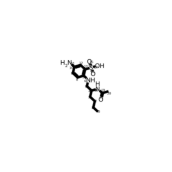 CCCCC(CNc1ccc(N)cc1S(=O)(=O)O)NC(C)=O